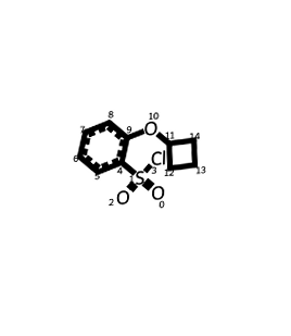 O=S(=O)(Cl)c1ccccc1OC1CCC1